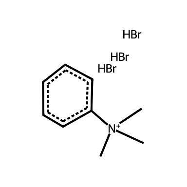 Br.Br.Br.C[N+](C)(C)c1ccccc1